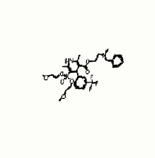 COCCOP(=O)(OCCOC)C1=C(C)NC(C)=C(C(=O)OCCN(C)Cc2ccccc2)C1c1cccc(C(F)(F)F)c1